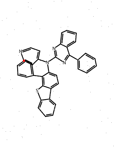 c1ccc(-c2nc(N(c3ccncc3)c3ccc4c(sc5ccccc54)c3-c3ccccc3)nc3ccccc23)cc1